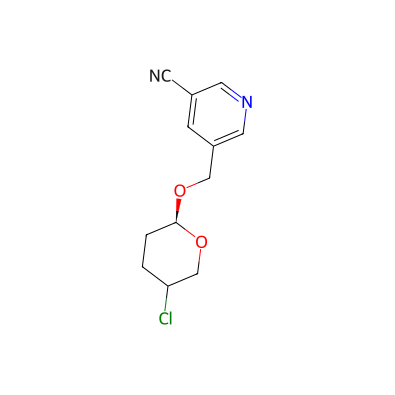 N#Cc1cncc(CO[C@@H]2CCC(Cl)CO2)c1